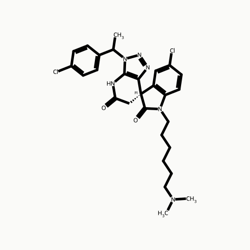 CC(c1ccc(Cl)cc1)n1nnc2c1NC(=O)C[C@]21C(=O)N(CCCCCCN(C)C)c2ccc(Cl)cc21